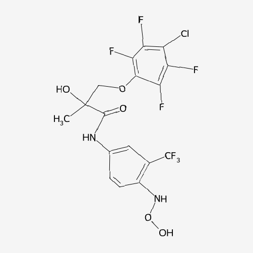 CC(O)(COc1c(F)c(F)c(Cl)c(F)c1F)C(=O)Nc1ccc(NOO)c(C(F)(F)F)c1